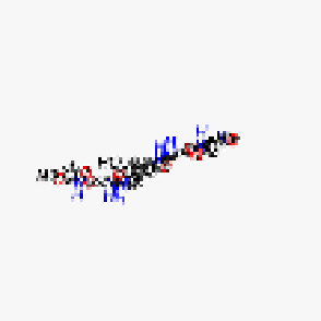 N#COc1cccc(NC(=O)OCCCNC(=O)Nc2ccc3c(c2)C(C(=O)O)c2cc(NC(=O)NCCCOC(=O)Nc4cccc(N=C=O)c4)ccc2-3)c1